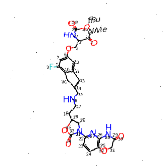 CNC(=O)C(COc1cc(F)c2c(c1)CC(CNCCC1CN(c3ccc4c(n3)NC(=O)CO4)C(=O)O1)C2)NC(=O)OC(C)(C)C